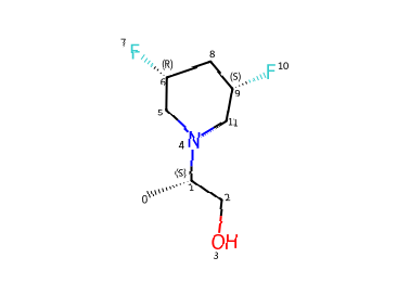 C[C@@H](CO)N1C[C@H](F)C[C@H](F)C1